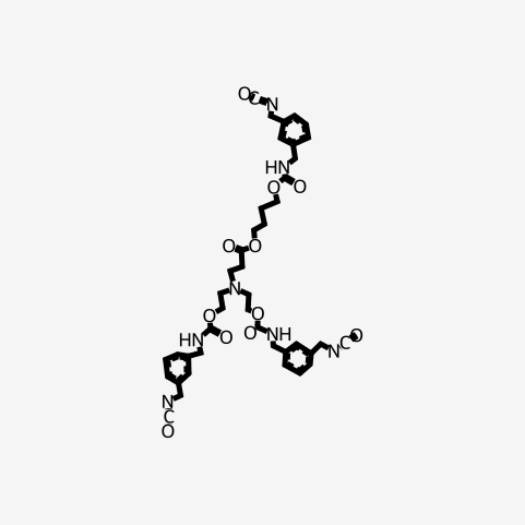 O=C=NCc1cccc(CNC(=O)OCCCCOC(=O)CCN(CCOC(=O)NCc2cccc(CN=C=O)c2)CCOC(=O)NCc2cccc(CN=C=O)c2)c1